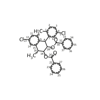 Cc1ccc(Cl)cc1C1c2ccc(Cl)cc2C(C)C(OC(=O)c2ccccc2)C1OC(=O)c1ccccc1